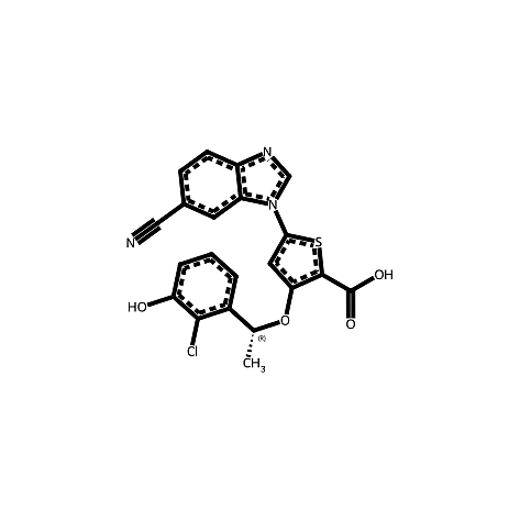 C[C@@H](Oc1cc(-n2cnc3ccc(C#N)cc32)sc1C(=O)O)c1cccc(O)c1Cl